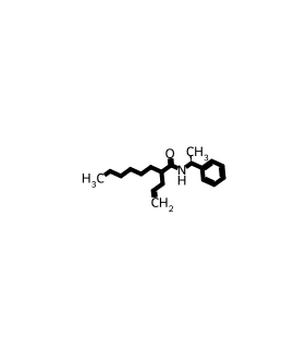 C=CCC(CCCCCC)C(=O)N[C@H](C)c1ccccc1